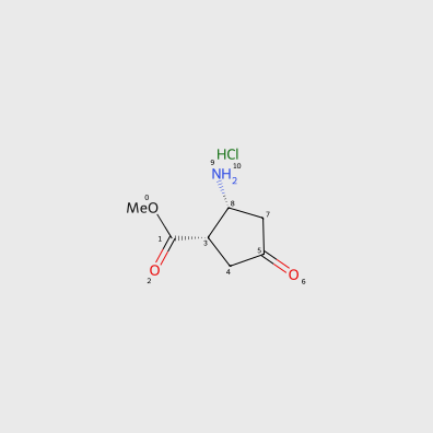 COC(=O)[C@H]1CC(=O)C[C@H]1N.Cl